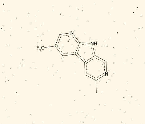 Cc1cc2c(cn1)[nH]c1ncc(C(F)(F)F)cc12